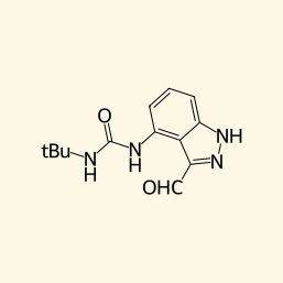 CC(C)(C)NC(=O)Nc1cccc2[nH]nc(C=O)c12